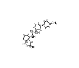 Cc1ccc(-c2cccc(NC(=O)Nc3cccc4c3CC(O)CC4)c2)cc1